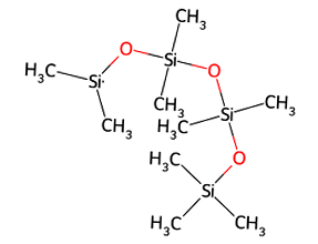 C[Si](C)O[Si](C)(C)O[Si](C)(C)O[Si](C)(C)C